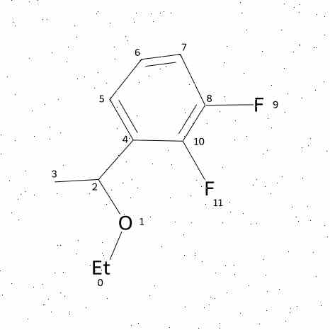 CCOC(C)c1cccc(F)c1F